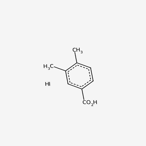 Cc1ccc(C(=O)O)cc1C.I